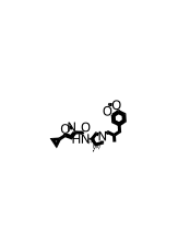 CC(Cc1ccc2c(c1)OCO2)CN1C[C@H](C)[C@H](NC(=O)c2cc(C3CC3)on2)C1